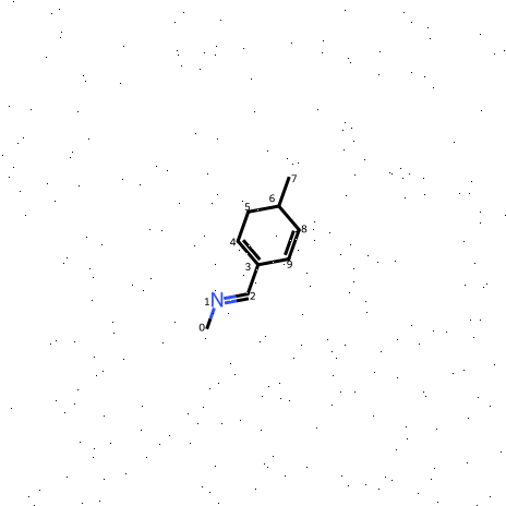 C/N=C/C1=CCC(C)C=C1